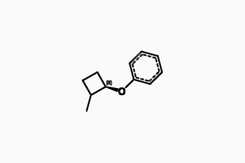 CC1CC[C@H]1Oc1ccccc1